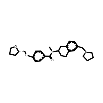 CN(C(=O)c1ccc(OC[C@@H]2CCCO2)cc1)C1CCc2cc(CN3CCCC3)ccc2C1